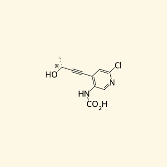 C[C@@H](O)C#Cc1cc(Cl)ncc1NC(=O)O